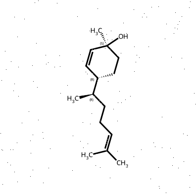 CC(C)=CCC[C@@H](C)[C@@H]1C=C[C@@](C)(O)CC1